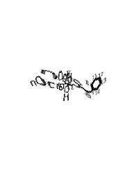 CCCCCCCCOC(O)C(O)(CSCc1ccccc1)OCCCCCCCC